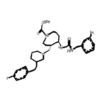 COC(=O)N1CC[C@@H](NC(=O)Nc2cccc(C(C)=O)c2)[C@H](CN2CCCC(Cc3ccc(F)cc3)C2)C1